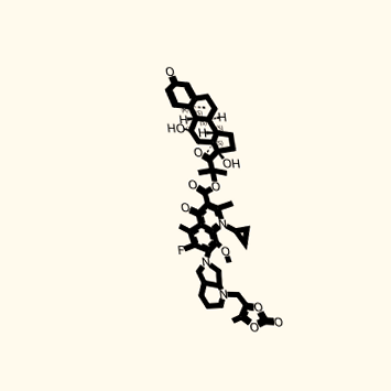 COc1c(N2CC3CCCN(Cc4oc(=O)oc4C)C3C2)c(F)c(C)c2c(=O)c(C(=O)OC(C)(C)C(=O)[C@@]3(O)CC[C@H]4[C@@H]5CCC6=CC(=O)C=C[C@]6(C)[C@H]5[C@@H](O)C[C@@]43C)c(C)n(C3CC3)c12